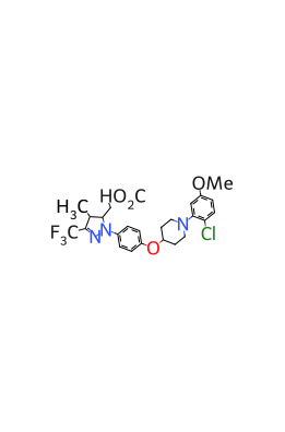 COc1ccc(Cl)c(N2CCC(Oc3ccc(N4N=C(C(F)(F)F)C(C)C4CC(=O)O)cc3)CC2)c1